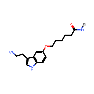 CCNC(=O)CCCCCOc1ccc2[nH]cc(CCN)c2c1